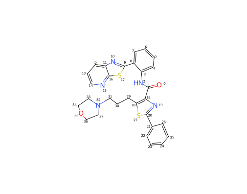 O=C(Nc1ccccc1-c1nc2cccnc2s1)c1nc(-c2ccccc2)sc1CCCN1CCOCC1